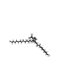 CCCCCCCCCCCCCCC1N(CCCCCCCCCCCC)C=CN1C(C)C